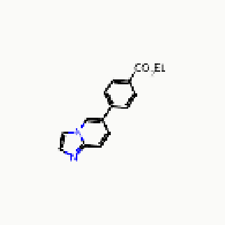 CCOC(=O)c1ccc(-c2ccc3nccn3c2)cc1